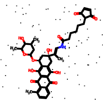 C/C(=C\NC(=O)CCCCCC1C(=O)C=CC1=O)[C@@]1(O)Cc2c(O)c3c(c(O)c2[C@@H](OC2CC(C)C(O)C(C)O2)C1)C(=O)c1c(C)cccc1C3=O